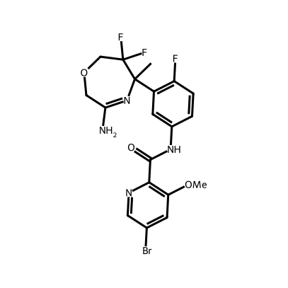 COc1cc(Br)cnc1C(=O)Nc1ccc(F)c(C2(C)N=C(N)COCC2(F)F)c1